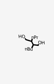 CCCCC(CO)C(CO)CCC